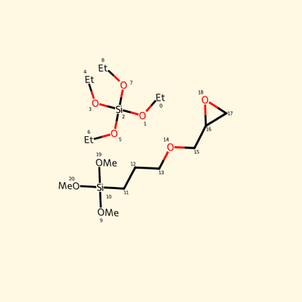 CCO[Si](OCC)(OCC)OCC.CO[Si](CCCOCC1CO1)(OC)OC